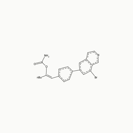 CCCCC(=Cc1ccc(-c2cc(Br)c3cnccc3c2)cc1)OC(N)=O